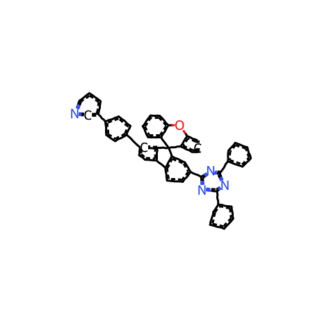 c1ccc(-c2nc(-c3ccccc3)nc(-c3ccc4c(c3)C3(c5ccccc5Oc5ccccc53)c3cc(-c5ccc(-c6cccnc6)cc5)ccc3-4)n2)cc1